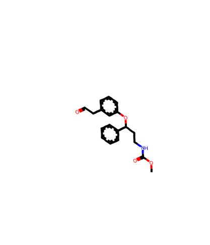 COC(=O)NCCC(Oc1cccc(CC=O)c1)c1ccccc1